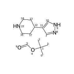 CC(C)(C)OC=O.c1n[nH]cc1C1CCNCC1